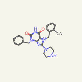 N#Cc1ccccc1Cn1c(N2CCNCC2)nc2c1c(=O)[nH]c(=O)n2Cc1ccccc1